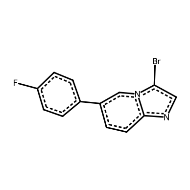 Fc1ccc(-c2ccc3ncc(Br)n3c2)cc1